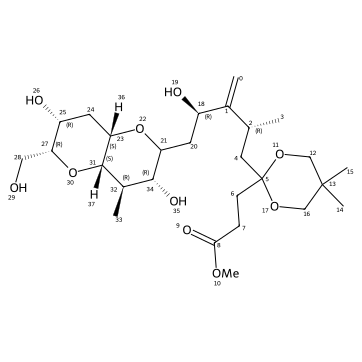 C=C([C@H](C)CC1(CCC(=O)OC)OCC(C)(C)CO1)[C@H](O)CC1O[C@H]2C[C@@H](O)[C@@H](CO)O[C@H]2[C@H](C)[C@H]1O